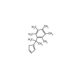 Cc1c(C)c(C)c(C(C)(C)C2=CC=CC2)c(C)c1C